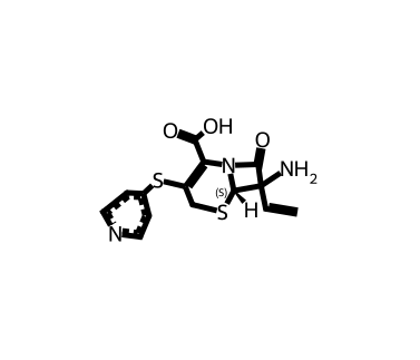 C=CC1(N)C(=O)N2C(C(=O)O)=C(Sc3ccncc3)CS[C@H]21